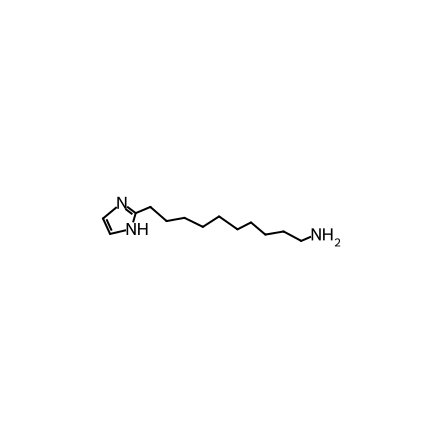 NCCCCCCCCCCc1ncc[nH]1